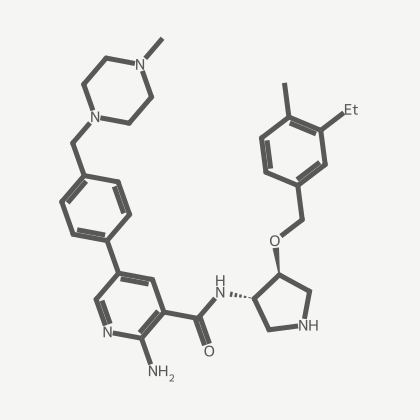 CCc1cc(CO[C@H]2CNC[C@@H]2NC(=O)c2cc(-c3ccc(CN4CCN(C)CC4)cc3)cnc2N)ccc1C